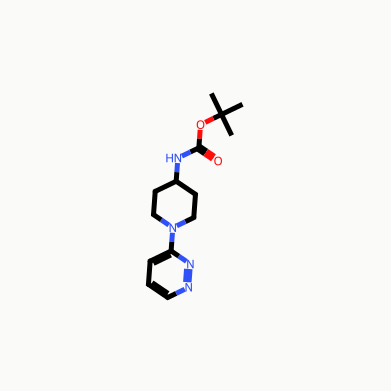 CC(C)(C)OC(=O)NC1CCN(c2cccnn2)CC1